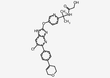 CC(C)(NC(=O)CO)c1ccc(Oc2nc3nc(-c4ccc(C5=CCOCC5)cc4)c(Cl)cc3[nH]2)cn1